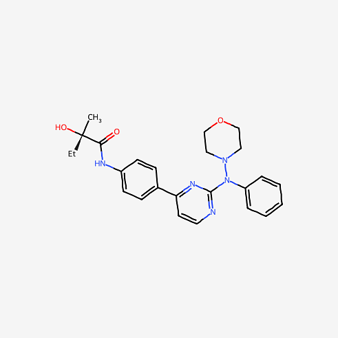 CC[C@](C)(O)C(=O)Nc1ccc(-c2ccnc(N(c3ccccc3)N3CCOCC3)n2)cc1